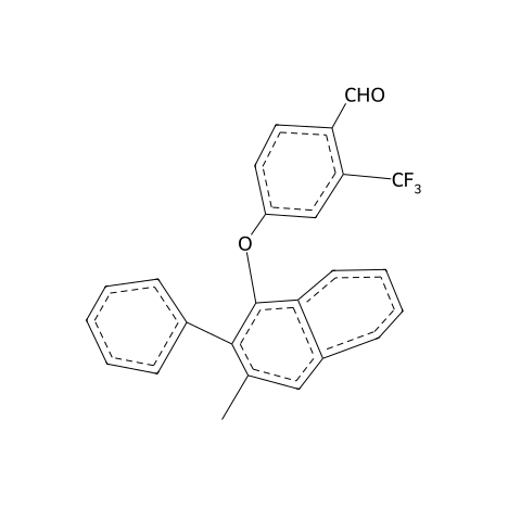 Cc1cc2ccccc2c(Oc2ccc(C=O)c(C(F)(F)F)c2)c1-c1ccccc1